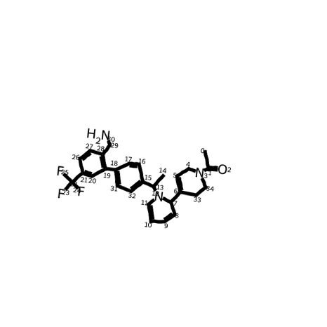 CC(=O)N1CC=C(C2C=CC=CN2C(C)c2ccc(-c3cc(C(F)(F)F)ccc3CN)cc2)CC1